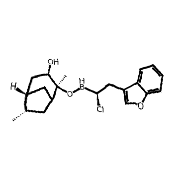 C[C@H]1CC2C[C@H]1C[C@@H](O)[C@@]2(C)OB[C@H](Cl)Cc1coc2ccccc12